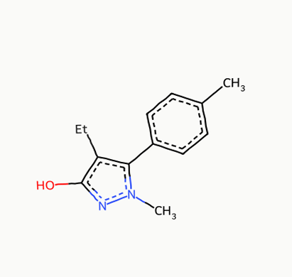 CCc1c(O)nn(C)c1-c1ccc(C)cc1